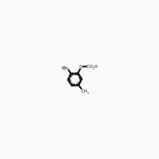 Cc1ccc(C(C)(C)C)c(OC(=O)O)c1